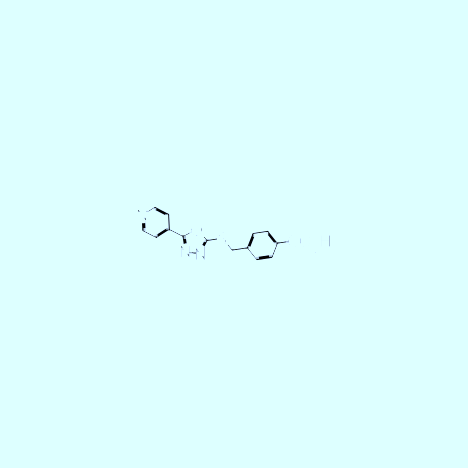 O=C(O)c1ccc(CSc2nnc(-c3ccncc3)o2)cc1